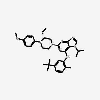 CC[C@@H]1CN(c2nc(Nc3cc(C(C)(C)C)ccc3C)c3c(ncn3C(C)C)n2)CCN1c1ccc(OC)cc1